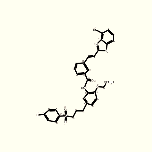 CCc1cccc2sc(C=Cc3cccc(C(=O)Nc4cc(CCCS(=O)(=O)c5ccc(Cl)cc5)ccc4OCC(=O)O)c3)nc12